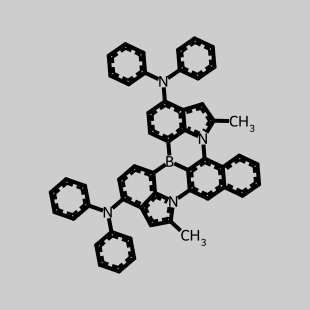 Cc1cc2c(N(c3ccccc3)c3ccccc3)ccc3c2n1-c1cc2ccccc2c2c1B3c1ccc(N(c3ccccc3)c3ccccc3)c3cc(C)n-2c13